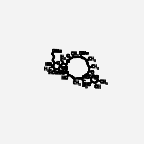 COCCCC1OC(O)(C(C)C2CC(OC)C(O)/C=C(C)/C=C(C)/C=C(\C)C(O[C@@H]3O[C@@H](C)[C@H](O)[C@@H](O)[C@@H]3O)C(C)/C=C(C)/C=C(OC)\C=C(/C)C(=O)O2)C(OC)C(O)C1(C)O